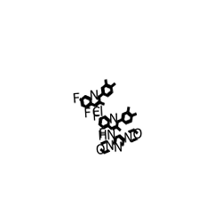 Cc1ccc(-c2nc3cc(F)cc(F)c3c(Cl)c2C)cc1C.Cc1ccc(-c2nc3cc(F)cc(F)c3c(Nc3cc(N4CCOCC4)cnc3N3CCOCC3)c2C)cc1C